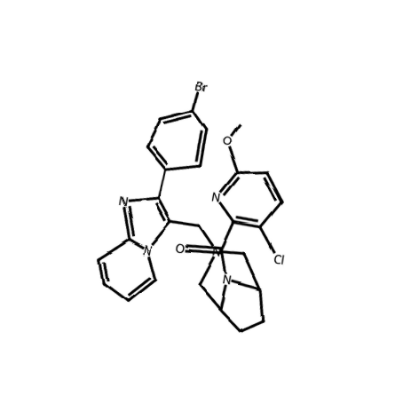 COc1ccc(Cl)c(C(=O)N2C3CCC2CN(Cc2c(-c4ccc(Br)cc4)nc4ccccn24)C3)n1